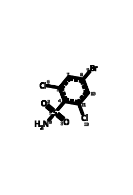 NS(=O)(=O)c1c(Cl)cc(Br)cc1Cl